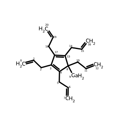 C=CCC1=C(CC=C)[C]([GaH2])(CC=C)C(CC=C)=C1CC=C